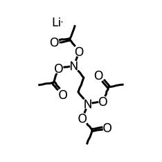 CC(=O)ON(CCN(OC(C)=O)OC(C)=O)OC(C)=O.[Li]